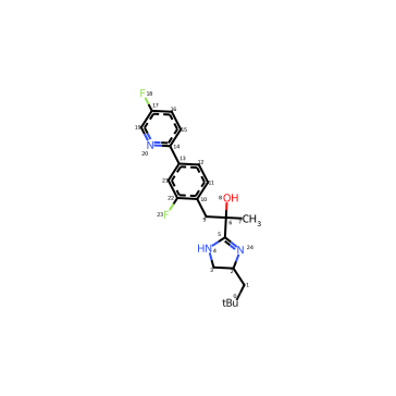 CC(C)(C)CC1CNC(C(C)(O)Cc2ccc(-c3ccc(F)cn3)cc2F)=N1